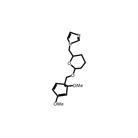 COc1ccc(COC2CCCC(Cn3ccnc3)O2)c(OC)c1